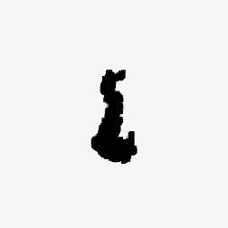 CC(C)c1noc(N2CCC(CCCOc3ccc(C(NC(=O)OC(C)(C)C)C(=O)O)cc3)CC2)n1